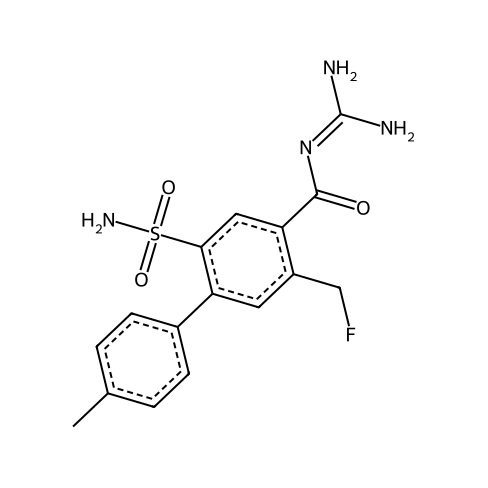 Cc1ccc(-c2cc(CF)c(C(=O)N=C(N)N)cc2S(N)(=O)=O)cc1